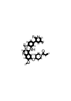 C=CC(=O)N1CCC(Oc2cc3c(Nc4cc(-c5cc(F)cnc5F)ccc4OC)ncnc3cc2OC)CC1